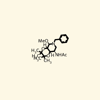 CO[C@@H]1[C@H]2OC(C)(C)C(C)(C)O[C@@H]2[C@@H](NC(C)=O)CN1Cc1ccccc1